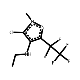 CCNc1c(C(F)(F)C(F)(F)F)nn(C)c1Cl